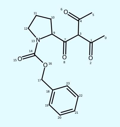 CC(=O)C(C(C)=O)C(=O)C1CCCN1C(=O)OCc1ccccc1